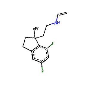 C=CNCCC1(CCC)CCc2cc(F)cc(F)c21